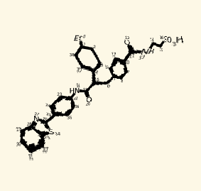 CCC1CCC(C(Cc2ccc(C(=O)NCCS(=O)(=O)O)cc2)C(=O)Nc2ccc(-c3nc4ccccc4s3)cc2)CC1